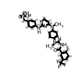 CN(c1ccc2c(c1)nc(NC(=O)c1cc(C(F)(F)F)ccc1F)n2C)c1ccnc(Nc2ccc(CS(C)(=O)=O)cc2)n1